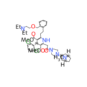 CCN(CC)CCOCc1ccccc1CCC1=C(C(=O)OC)[C@@H](c2c(Cl)cccc2Cl)C(C(=O)OC)=C(CC(=O)N2CCN([C@@H]3C[C@H]4CC[C@@H](C3)N4C)CC2)N1